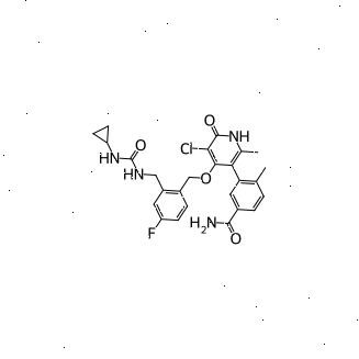 Cc1ccc(C(N)=O)cc1-c1c(C)[nH]c(=O)c(Cl)c1OCc1ccc(F)cc1CNC(=O)NC1CC1